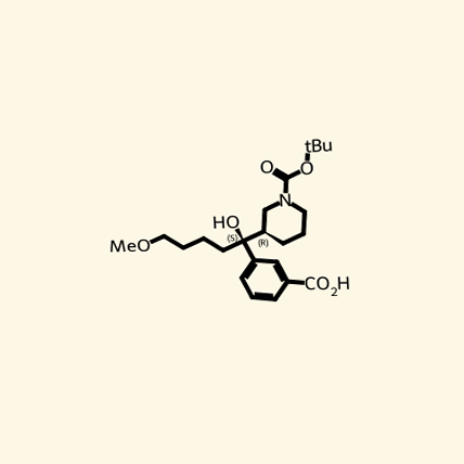 COCCCC[C@@](O)(c1cccc(C(=O)O)c1)[C@@H]1CCCN(C(=O)OC(C)(C)C)C1